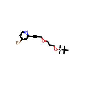 CC(C)(C)[Si](C)(C)OCCCOCC#Cc1cc(Br)ccn1